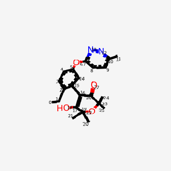 CCc1ccc(Oc2ccc(C)nn2)cc1C1=C(O)C(C)(C)OC(C)(C)C1=O